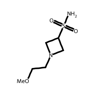 COCCN1CC(S(N)(=O)=O)C1